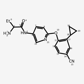 CCC(N)C(=O)Nc1ccc(Oc2ccc(C#N)cc2C2CC2)nc1